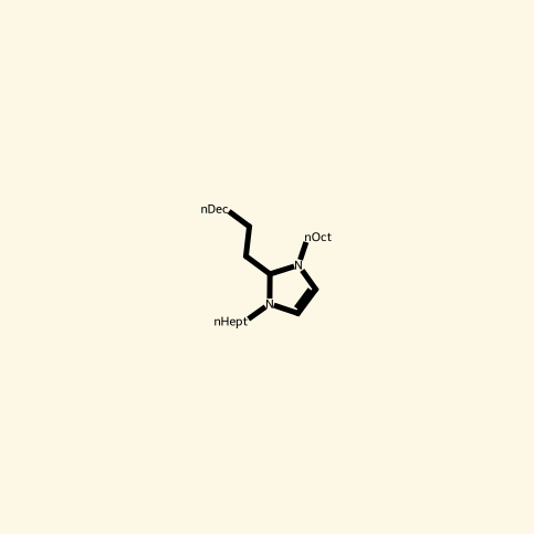 CCCCCCCCCCCCC1N(CCCCCCC)C=CN1CCCCCCCC